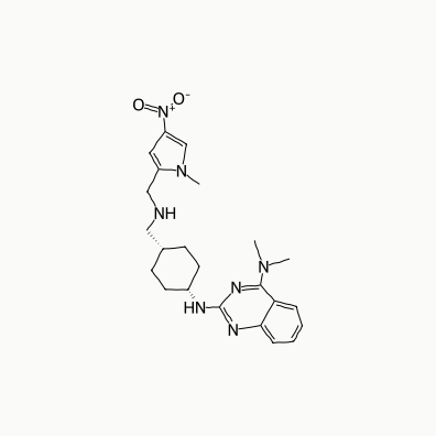 CN(C)c1nc(N[C@H]2CC[C@@H](CNCc3cc([N+](=O)[O-])cn3C)CC2)nc2ccccc12